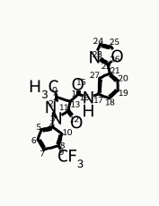 CC1=NN(c2cccc(C(F)(F)F)c2)C(=O)C1C(=O)Nc1cccc(-c2ncco2)c1